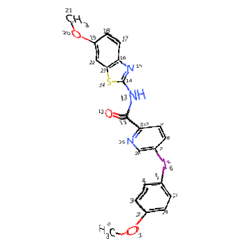 COc1ccc([I+]c2ccc(C(=O)Nc3nc4ccc(OC)cc4s3)nc2)cc1